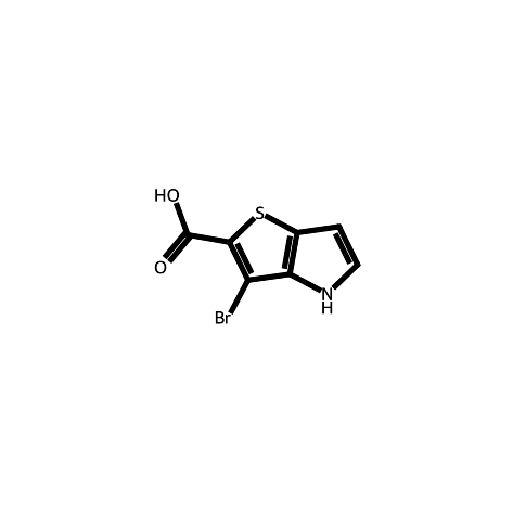 O=C(O)c1sc2cc[nH]c2c1Br